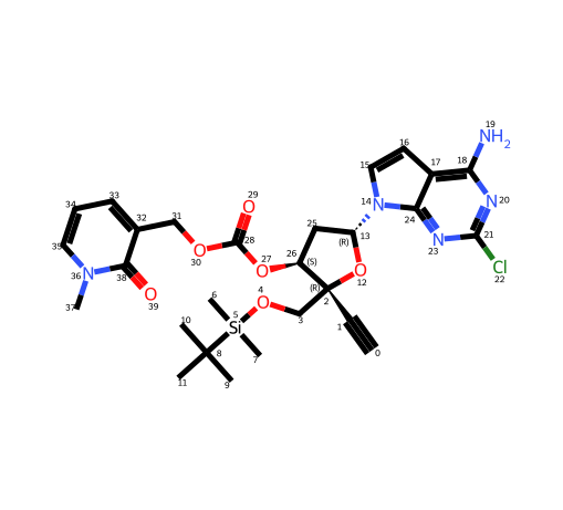 C#C[C@]1(CO[Si](C)(C)C(C)(C)C)O[C@@H](n2ccc3c(N)nc(Cl)nc32)C[C@@H]1OC(=O)OCc1cccn(C)c1=O